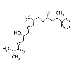 CC(COCC(O)COC(=O)C(C)C)COC(=O)CC(C)c1ccccc1